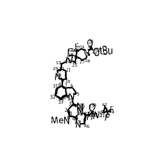 CNc1cc(N2CCc3c(-c4ccc(CN5CC6(CCN(C(=O)OC(C)(C)C)CC6(F)F)C5)cn4)cccc32)nn2c(C(=O)N[C@@H]3CC3(F)F)cnc12